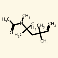 C=CC(C)(C)CC(C)(C)N(C)C(C)=O